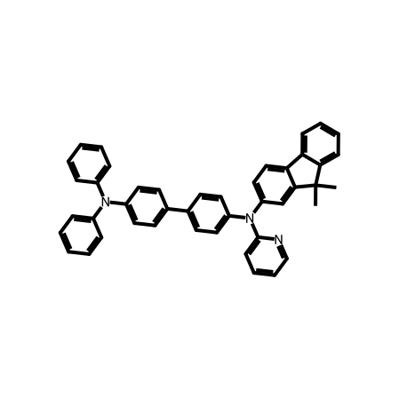 CC1(C)c2ccccc2-c2ccc(N(c3ccc(-c4ccc(N(c5ccccc5)c5ccccc5)cc4)cc3)c3ccccn3)cc21